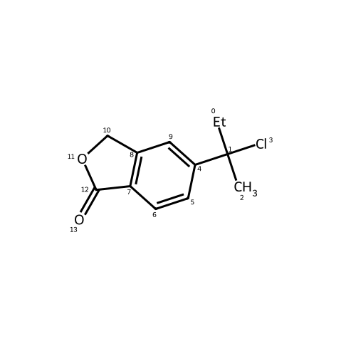 CCC(C)(Cl)c1ccc2c(c1)COC2=O